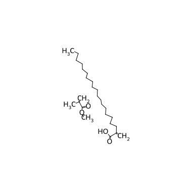 C=C(C)C(=O)OC.C=C(CCCCCCCCCCCCCCCCCC)C(=O)O